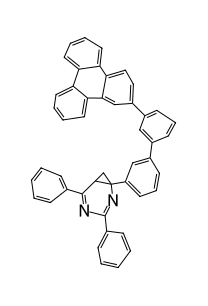 c1ccc(C2=NC3(c4cccc(-c5cccc(-c6ccc7c8ccccc8c8ccccc8c7c6)c5)c4)CC3C(c3ccccc3)=N2)cc1